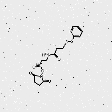 O=C(CCSSc1ccccn1)[15NH]CC[13C](=O)ON1C(=O)CCC1=O